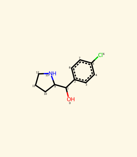 OC(c1ccc(Cl)cc1)C1CCCN1